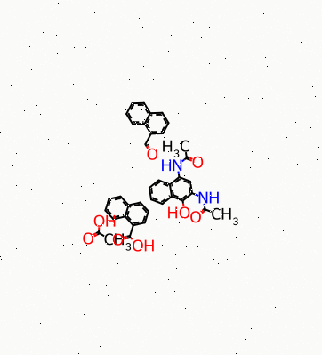 CC(=O)Nc1cc(NC(C)=O)c2ccccc2c1O.CC(=O)O.O=C(O)c1cccc2ccccc12.O=Cc1cccc2ccccc12